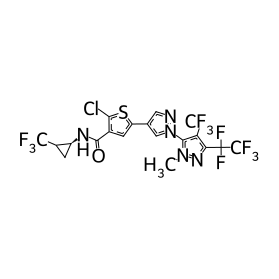 Cn1nc(C(F)(F)C(F)(F)F)c(C(F)(F)F)c1-n1cc(-c2cc(C(=O)N[C@H]3CC3C(F)(F)F)c(Cl)s2)cn1